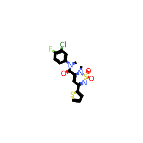 CN(C(=O)C1=CC(c2cccs2)=NS(=O)(=O)N1C)c1ccc(F)c(Cl)c1